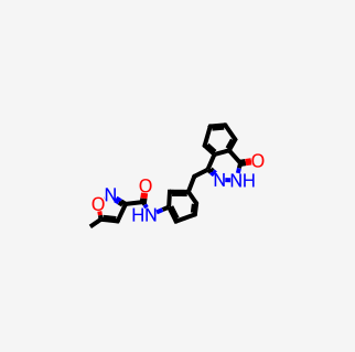 Cc1cc(C(=O)Nc2cccc(Cc3n[nH]c(=O)c4ccccc34)c2)no1